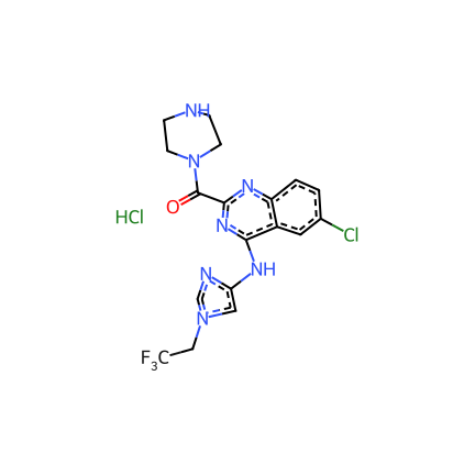 Cl.O=C(c1nc(Nc2cn(CC(F)(F)F)cn2)c2cc(Cl)ccc2n1)N1CCNCC1